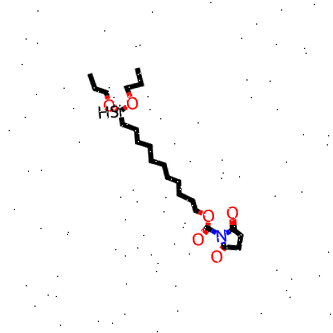 CCCO[SiH](CCCCCCCCCCCOC(=O)N1C(=O)CCC1=O)OCCC